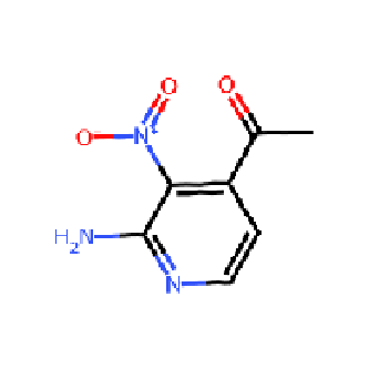 CC(=O)c1ccnc(N)c1[N+](=O)[O-]